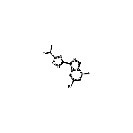 Fc1cc(Br)cn2c(-c3nnc(C(F)F)s3)ncc12